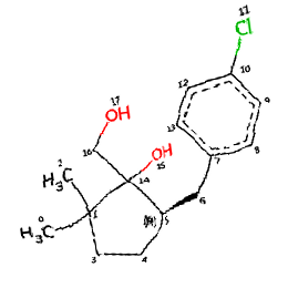 CC1(C)CC[C@H](Cc2ccc(Cl)cc2)C1(O)CO